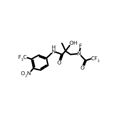 CC(O)(CN(F)C(=O)C(F)(F)F)C(=O)Nc1ccc([N+](=O)[O-])c(C(F)(F)F)c1